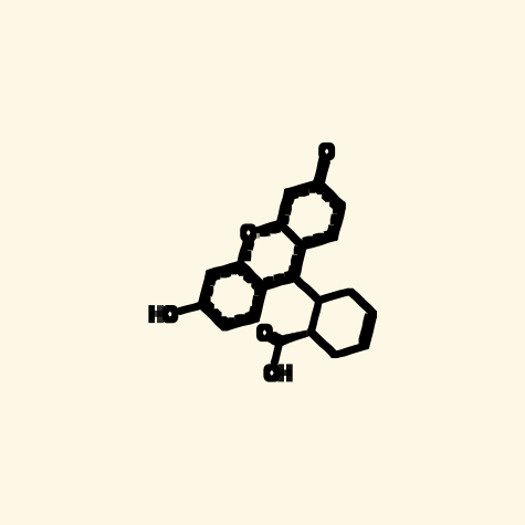 O=C(O)[C@@H]1CC=CCC1c1c2ccc(=O)cc-2oc2cc(O)ccc12